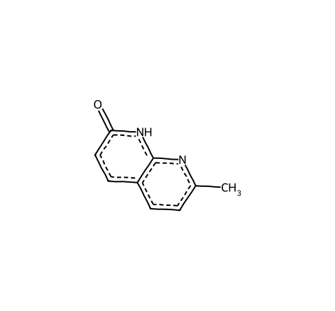 Cc1ccc2ccc(=O)[nH]c2n1